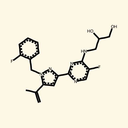 C=C(C)c1cc(-c2ncc(F)c(NCC(O)CO)n2)nn1Cc1ccccc1F